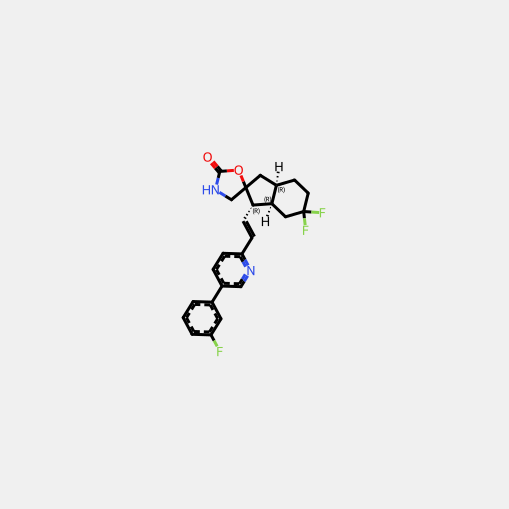 O=C1NCC2(C[C@H]3CCC(F)(F)C[C@H]3[C@@H]2C=Cc2ccc(-c3cccc(F)c3)cn2)O1